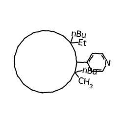 CCCCC1(CC)CCCCCCCCCCCCCCCC(C)(CCCC)C(c2ccncc2)C1